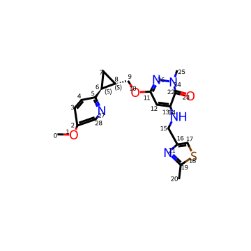 COc1ccc([C@H]2C[C@@H]2COc2cc(NCc3csc(C)n3)c(=O)n(C)n2)nc1